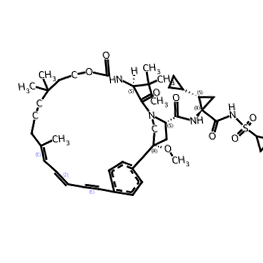 CO[C@@]12C[C@@H](C(=O)N[C@]3(C(=O)NS(=O)(=O)C4CC4)C[C@H]3C3CC3)N(C1)C(=O)[C@H](C(C)(C)C)NC(=O)OCCC(C)(C)CCC/C(C)=C/C=C\C=C\c1ccc2cc1